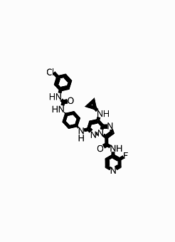 O=C(Nc1cccc(Cl)c1)N[C@H]1CC[C@H](Nc2cc(NC3CC3)c3ncc(C(=O)Nc4ccncc4F)n3n2)CC1